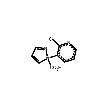 O=C(O)[N+]1(c2cccnc2Cl)C=CC=N1